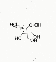 Cl.Cl.Cl.OCC(CO)(CO)CO.[P]